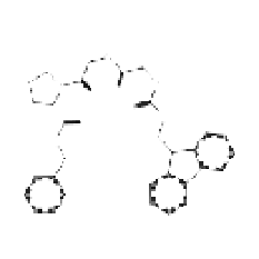 C[C@H](NC(=O)OCC1c2ccccc2-c2ccccc21)C(=O)N[C@@H](C)C(=O)N1CCC[C@H]1C(=O)OCc1ccccc1